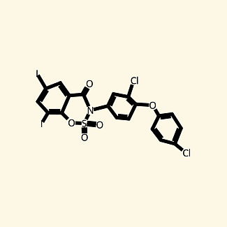 O=C1c2cc(I)cc(I)c2OS(=O)(=O)N1c1ccc(Oc2ccc(Cl)cc2)c(Cl)c1